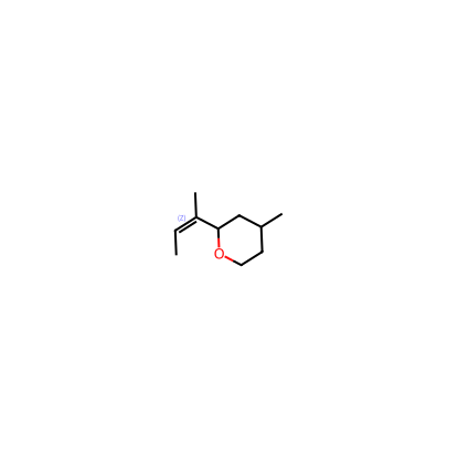 C/C=C(/C)C1CC(C)CCO1